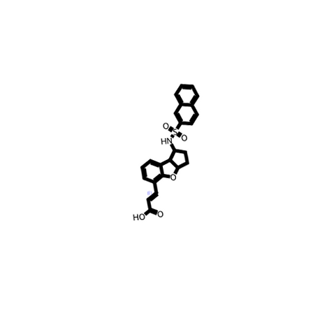 O=C(O)/C=C/c1cccc2c1OC1CCC(NS(=O)(=O)c3ccc4ccccc4c3)C21